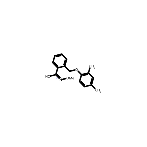 CO/N=C(/C#N)c1ccccc1COc1ccc(C)cc1C